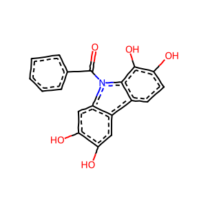 O=C(c1ccccc1)n1c2cc(O)c(O)cc2c2ccc(O)c(O)c21